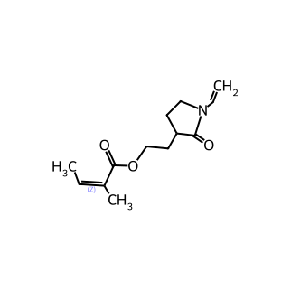 C=CN1CCC(CCOC(=O)/C(C)=C\C)C1=O